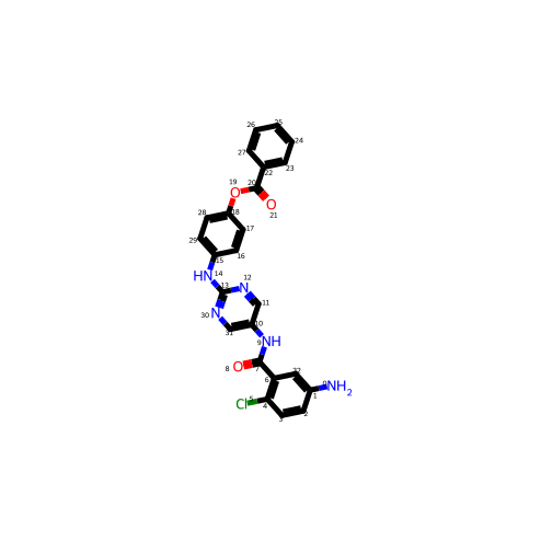 Nc1ccc(Cl)c(C(=O)Nc2cnc(Nc3ccc(OC(=O)c4ccccc4)cc3)nc2)c1